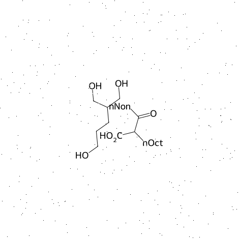 CCCCCCCCCC(=O)C(CCCCCCCC)C(=O)O.OCCCC(CO)CO